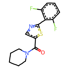 O=C(c1cnc(-c2c(F)cccc2F)s1)N1CCCCC1